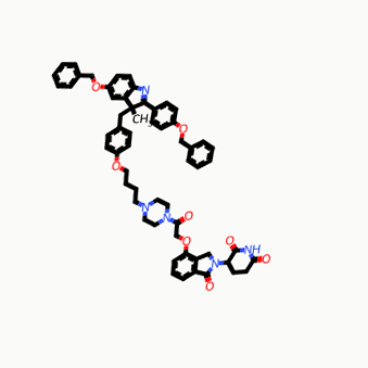 CC1(Cc2ccc(OCCCCN3CCN(C(=O)COc4cccc5c4CN(C4CCC(=O)NC4=O)C5=O)CC3)cc2)C(c2ccc(OCc3ccccc3)cc2)=Nc2ccc(OCc3ccccc3)cc21